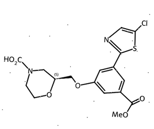 COC(=O)c1cc(OC[C@@H]2CN(C(=O)O)CCO2)cc(-c2ncc(Cl)s2)c1